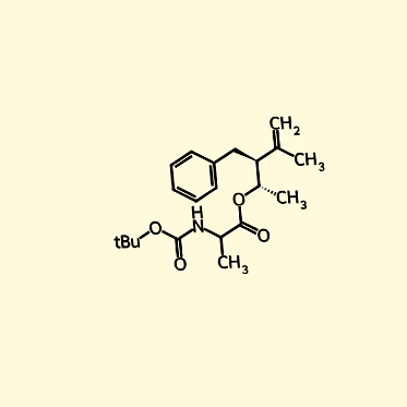 C=C(C)[C@H](Cc1ccccc1)[C@H](C)OC(=O)C(C)NC(=O)OC(C)(C)C